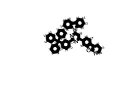 c1ccc(C(c2ccccc2)(c2ccccc2)c2cccc(-c3nc(-c4ccc5c(c4)oc4ncccc45)cc(-n4c5ccccc5c5ccccc54)n3)c2)cc1